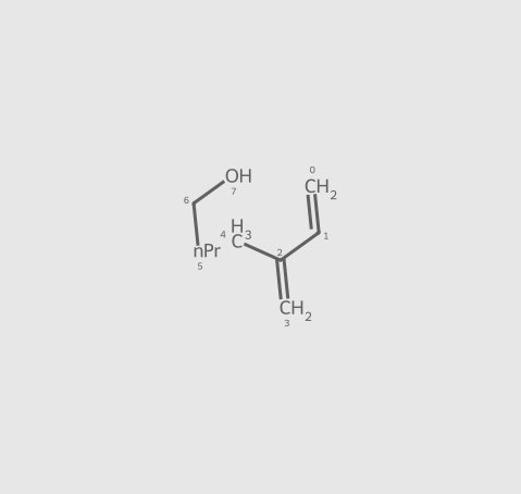 C=CC(=C)C.CCCCO